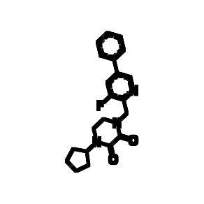 O=C1C(=O)N(C2CCCC2)CCN1Cc1ncc(-c2ccccc2)cc1F